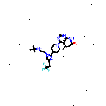 C[C@@H]1CC(=O)Nc2ncnc(N3CCC(c4nc(CC(F)(F)F)cn4CCNC(C)(C)C)CC3)c21